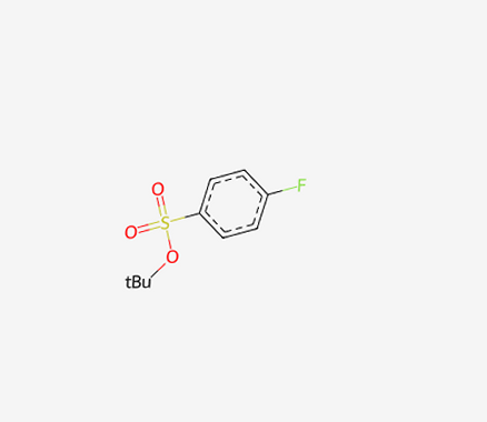 CC(C)(C)OS(=O)(=O)c1ccc(F)cc1